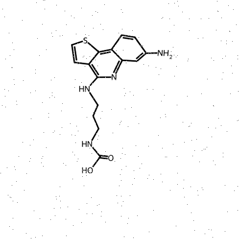 Nc1ccc2c(c1)nc(NCCCNC(=O)O)c1ccsc12